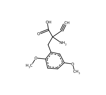 C#CC(N)(Cc1cc(OC)ccc1OC)C(=O)O